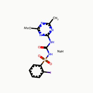 COc1nc(C)nc(NC(=O)NS(=O)(=O)c2ccccc2I)n1.[NaH]